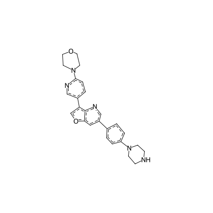 c1cc(N2CCNCC2)ccc1-c1cnc2c(-c3ccc(N4CCOCC4)nc3)coc2c1